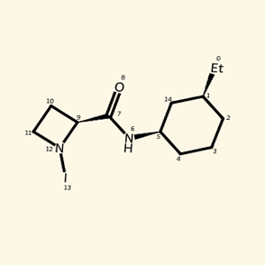 CC[C@H]1CCC[C@@H](NC(=O)[C@@H]2CCN2I)C1